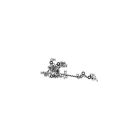 COc1ccc(CCO[C@@H]2CCCC[C@H]2N2CC[C@@H](OC(=O)CCCCCCCCC(=O)NCCCC[C@H](NC(=O)[C@H](Cc3c[nH]c4ccccc34)NC(=O)[C@H](CCCNC(=N)N)NC(=O)[C@H](Cc3ccc(O)cc3)NC(=O)[C@H](Cc3ccc(O)cc3)NC(=O)[C@H](CCCNC(=N)N)NC(C)=O)C(N)=O)C2)cc1C